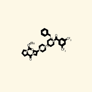 CC(C)(C)OC(=O)N1CCCC1C(=O)N1CC(N2CCN([C@H]3CCN(C(=O)c4cc(C(F)(F)F)cc(C(F)(F)F)c4)[C@@H](Cc4ccccc4)C3)CC2)C1